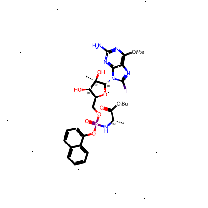 COc1nc(N)nc2c1nc(I)n2[C@@H]1OC(COP(=O)(N[C@@H](C)C(=O)OCC(C)C)Oc2cccc3ccccc23)[C@@H](O)[C@@]1(C)O